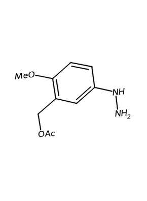 COc1ccc(NN)cc1COC(C)=O